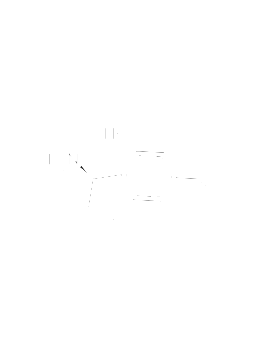 Cl.N[C@@H]1CCc2cc(Cl)ccc21